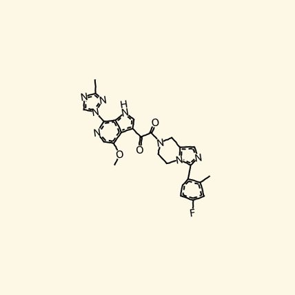 COc1cnc(-n2cnc(C)n2)c2[nH]cc(C(=O)C(=O)N3CCn4c(cnc4-c4ccc(F)cc4C)C3)c12